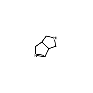 [C]1NCC2CN=CC12